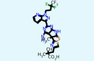 CC(C)(Cc1csc(C2(C)C(=S)Nc3nc(-c4nn(CCC(F)(F)C(F)(F)F)c5ncccc45)nc(N)c32)n1)C(=O)O